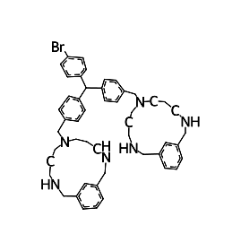 Brc1ccc(C(c2ccc(CN3CCCNCc4cccc(c4)CNCCC3)cc2)c2ccc(CN3CCCNCc4cccc(c4)CNCCC3)cc2)cc1